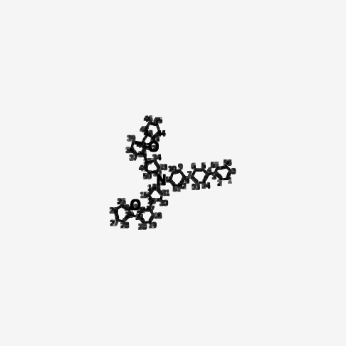 c1ccc(-c2ccc(-c3ccc(N(c4ccc(-c5cccc6c5oc5ccccc56)cc4)c4ccc(-c5cccc6c5oc5ccccc56)cc4)cc3)cc2)cc1